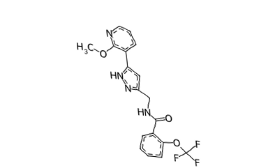 COc1ncccc1-c1cc(CNC(=O)c2ccccc2OC(F)(F)F)n[nH]1